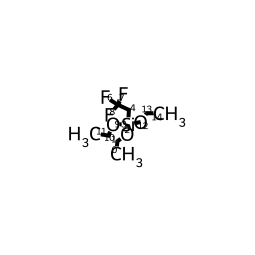 CCO[Si](CC(F)(F)F)(OCC)OCC